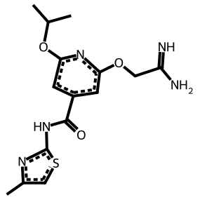 Cc1csc(NC(=O)c2cc(OCC(=N)N)nc(OC(C)C)c2)n1